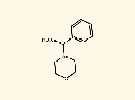 O=C(O)[C@@H](c1ccccc1)N1CCOCC1